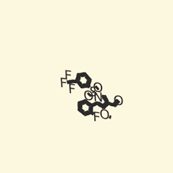 COc1c(C=O)cn(S(=O)(=O)c2cccc(C(F)(F)F)c2)c1-c1ccccc1F